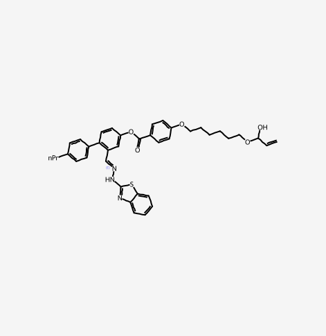 C=CC(O)OCCCCCCOc1ccc(C(=O)Oc2ccc(-c3ccc(CCC)cc3)c(/C=N/Nc3nc4ccccc4s3)c2)cc1